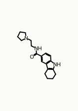 O=C(NCCN1CCCC1)c1ccc2[nH]c3c(c2c1)CCCC3